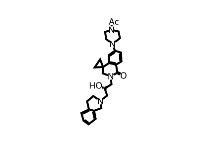 CC(=O)N1CCN(c2ccc3c(c2)C2(CC2)CN(C[C@H](O)CN2CCc4ccccc4C2)C3=O)CC1